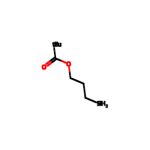 CC(C)(C)C(=O)OCCC[SiH3]